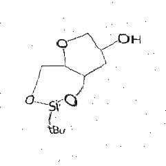 CC(C)(C)[Si]1OCC2OCC(O)CC2O1